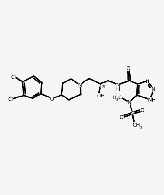 CN(c1[nH]nnc1C(=O)NC[C@@H](O)CN1CCC(Oc2ccc(Cl)c(Cl)c2)CC1)S(C)(=O)=O